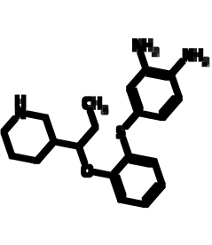 CCC(Oc1ccccc1Sc1ccc(N)c(N)c1)C1CCCNC1